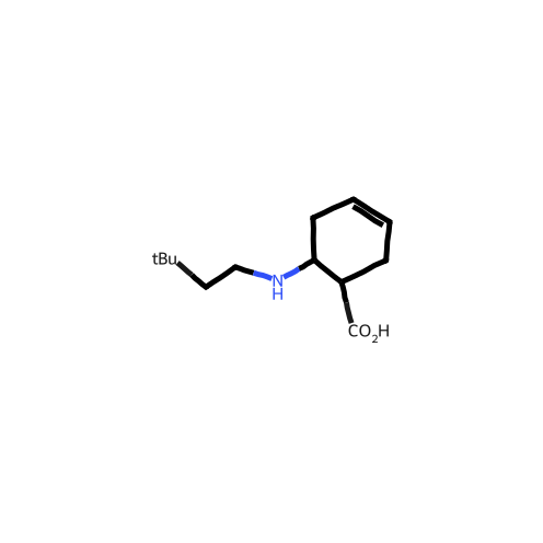 CC(C)(C)CCNC1CC=CCC1C(=O)O